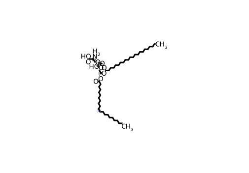 CCCCCCCCCC/C=C\CCCCCCCCCC(=O)OC[C@H](COP(=O)(O)OC[C@H](N)C(=O)O)OC(=O)CCCCCCCCCCCCCCCCCCCCC